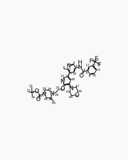 Cc1ncc(NC(=O)c2cccc(C(F)(F)F)c2)cc1-c1cnc(OCCN2CCN(C(=O)OC(C)(C)C)C[C@@H]2C)c(N2CCOCC2)c1